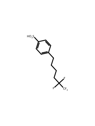 O=S(=O)(O)c1ccc(CCCCC(F)(F)C(F)(F)F)cc1